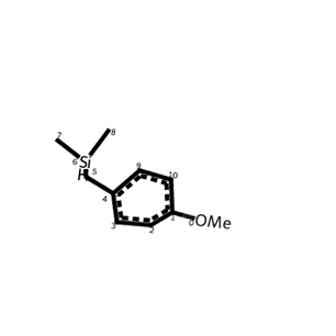 COc1ccc(C[SiH](C)C)cc1